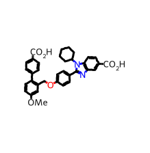 COc1ccc(-c2ccc(C(=O)O)cc2)c(COc2ccc(-c3nc4cc(C(=O)O)ccc4n3C3CCCCC3)cc2)c1